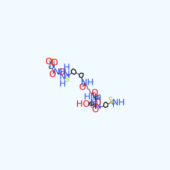 CC1NCSC1c1ccc(CNC(=O)[C@@H]2C[C@@H](O)CN2C(=O)[C@@H](NC(=O)CCCCC(=O)NCc2cccc(-c3cccc(C4CSC(NC(=O)CNC(=O)C5CCN(S(C)(=O)=O)C5)N4)c3)c2)C(C)(C)C)cc1